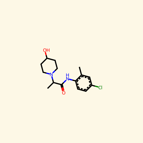 Cc1cc(Cl)ccc1NC(=O)C(C)N1CCC(O)CC1